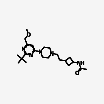 COCc1cc(N2CCN(CCC3CC(NC(C)=O)C3)CC2)nc(C(C)(C)C)n1